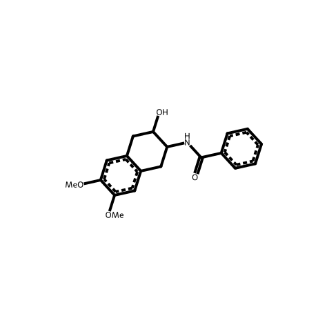 COc1cc2c(cc1OC)CC(NC(=O)c1ccccc1)C(O)C2